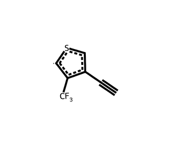 C#Cc1cs[c]c1C(F)(F)F